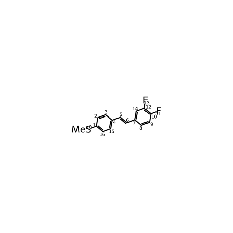 CSc1ccc(/C=C/c2ccc(F)c(F)c2)cc1